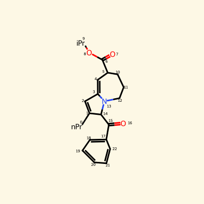 CCCC1=CC2=CC(C(=O)OC(C)C)CCCN2C1C(=O)c1ccccc1